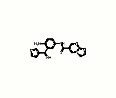 N=C(c1ccoc1)c1cc(NC(=O)c2cnc3nccn3c2)ccc1N